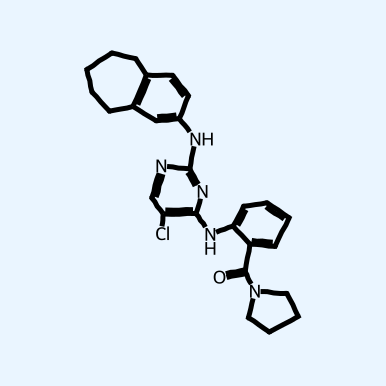 O=C(c1ccccc1Nc1nc(Nc2ccc3c(c2)CCCCC3)ncc1Cl)N1CCCC1